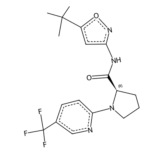 CC(C)(C)c1cc(NC(=O)[C@H]2CCCN2c2ccc(C(F)(F)F)cn2)no1